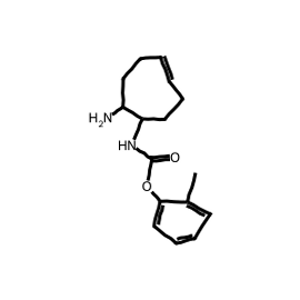 Cc1ccccc1OC(=O)NC1CC/C=C/CCC1N